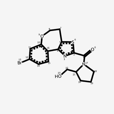 O=C(c1nc2c(s1)CCOc1cc(Br)ccc1-2)N1CCCC1CO